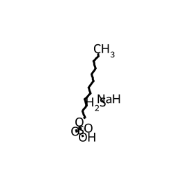 CCCCCCCCCCCCOS(=O)(=O)O.S.[NaH]